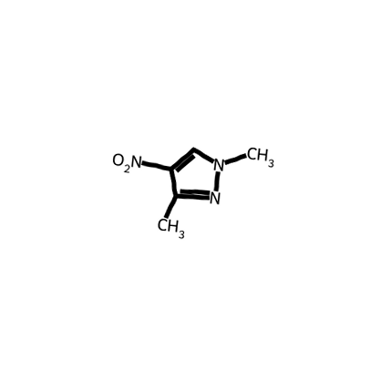 Cc1nn(C)cc1[N+](=O)[O-]